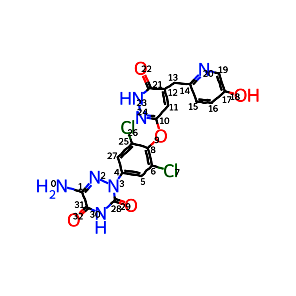 Nc1nn(-c2cc(Cl)c(Oc3cc(Cc4ccc(O)cn4)c(=O)[nH]n3)c(Cl)c2)c(=O)[nH]c1=O